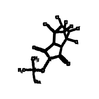 CC(C)(C)[Si](C)(C)ON1C(=O)C2C(C1=O)C1(Cl)C(Cl)C(Cl)C2(Cl)C1(Cl)Cl